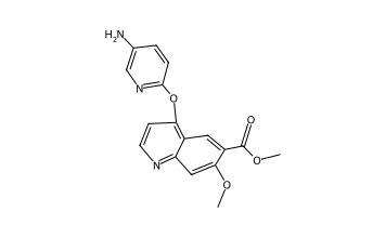 COC(=O)c1cc2c(Oc3ccc(N)cn3)ccnc2cc1OC